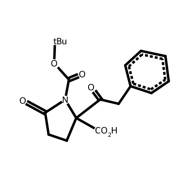 CC(C)(C)OC(=O)N1C(=O)CCC1(C(=O)O)C(=O)Cc1ccccc1